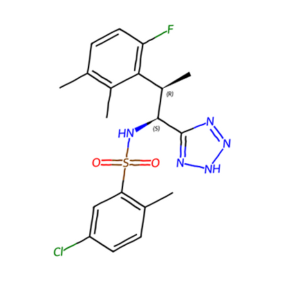 Cc1ccc(Cl)cc1S(=O)(=O)N[C@H](c1nn[nH]n1)[C@H](C)c1c(F)ccc(C)c1C